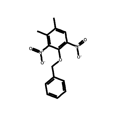 Cc1cc([N+](=O)[O-])c(OCc2ccccc2)c([N+](=O)[O-])c1C